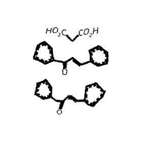 O=C(/C=C/c1ccccc1)c1ccccc1.O=C(/C=C/c1ccccc1)c1ccccc1.O=C(O)CC(=O)O